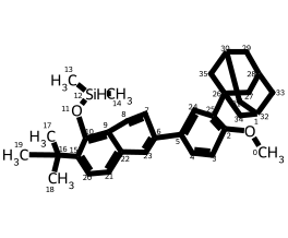 COc1ccc(-c2ccc3c(O[SiH](C)C)c(C(C)(C)C)ccc3c2)cc1C12CC3CC(CC(C3)C1)C2